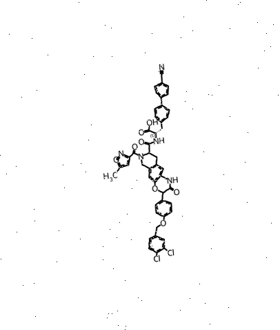 Cc1cc(C(=O)N2Cc3cc4c(cc3CC2C(=O)N[C@@H](Cc2ccc(-c3ccc(C#N)cc3)cc2)C(=O)O)NC(=O)C(c2ccc(OCc3ccc(Cl)c(Cl)c3)cc2)O4)no1